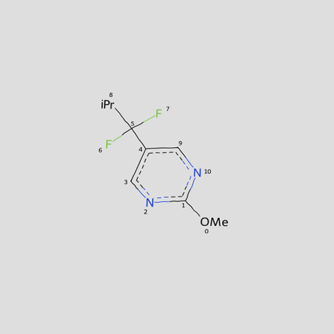 COc1ncc(C(F)(F)C(C)C)cn1